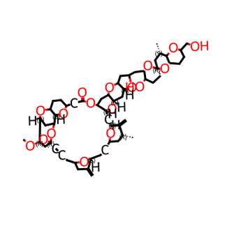 C=C1CC2CCC[C@]34C[C@@H](OC)C(O3)[C@H]3CC(O4)[C@H]4OC(CCC4O3)CC(=O)OC3CC4OC5CC(CC6O[C@@]7(CCC6O)C[C@H](C)C6OC(CO)CCC6O7)O[C@@H]5C[C@@H]4O[C@H]3C[C@H]3OC(CC[C@@H]1O2)C[C@@H](C)C3=C